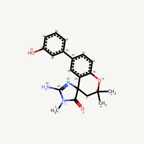 CN1C(=O)C2(CC(C)(C)Oc3ccc(-c4cccc(O)c4)cc32)N=C1N